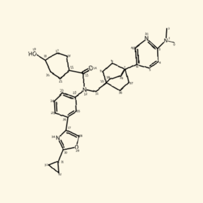 CN(C)c1ccc(C23CCC(CN(C(=O)C4CCC(O)CC4)c4cccc(-c5coc(C6CC6)n5)c4)(CC2)CC3)cn1